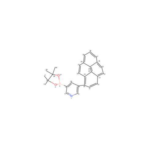 CC1(C)OB(c2cncc(-c3ccc4ccc5cccc6ccc3c4c56)c2)OC1(C)C